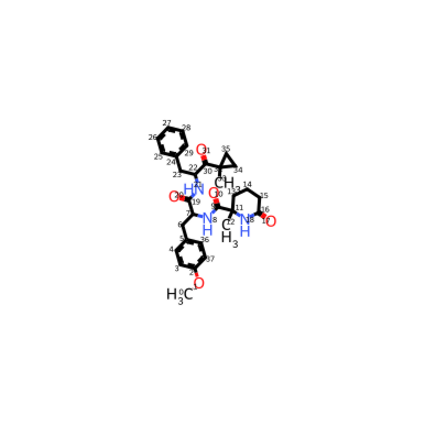 COc1ccc(CC(NC(=O)C2(C)CCCC(=O)N2)C(=O)NC(Cc2ccccc2)C(=O)C2(C)CC2)cc1